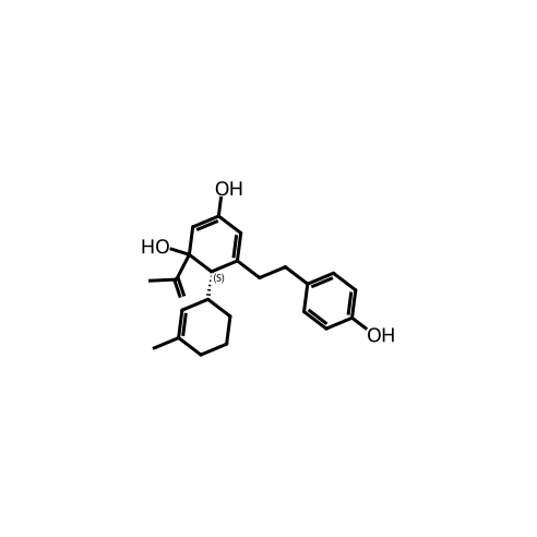 C=C(C)C1(O)C=C(O)C=C(CCc2ccc(O)cc2)[C@@H]1C1C=C(C)CCC1